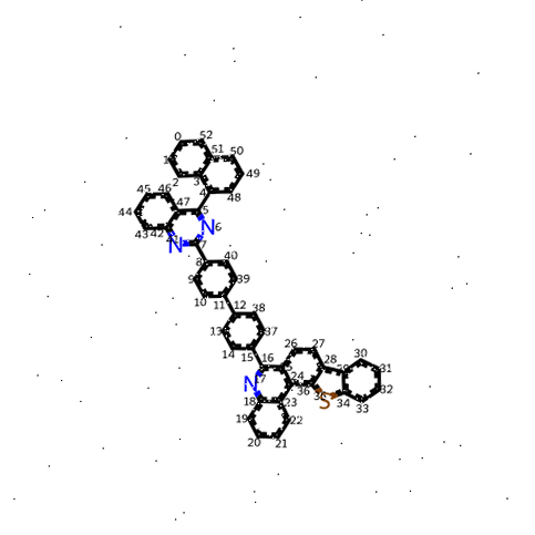 c1ccc2c(-c3nc(-c4ccc(-c5ccc(-c6nc7ccccc7c7c6ccc6c8ccccc8sc67)cc5)cc4)nc4ccccc34)cccc2c1